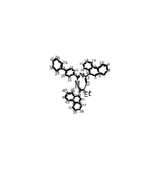 CC[C@H]1C=C(c2cc3ccccc3c3ccccc23)N=C(c2ccc(-c3ccccc3)cc2)N=C1c1cc2ccccc2c2ccccc12